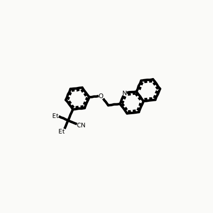 CCC(C#N)(CC)c1cccc(OCc2ccc3ccccc3n2)c1